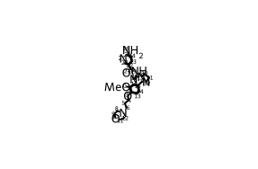 COc1c(OCCCN2CCOCC2)ccc2c1N=C(NC(=O)c1ccc(N)nc1)N1CCN=C21